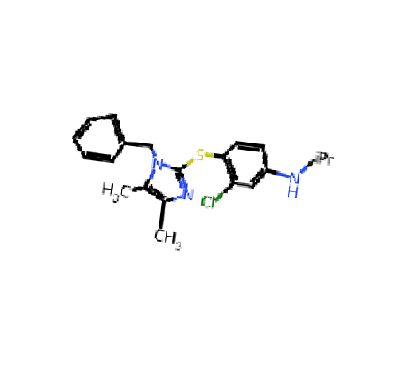 Cc1nc(Sc2ccc(NC(C)C)cc2Cl)n(Cc2ccccc2)c1C